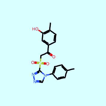 Cc1ccc(-n2cnnc2S(=O)(=O)CC(=O)c2ccc(C)c(O)c2)cc1